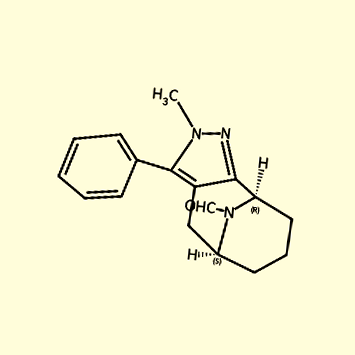 Cn1nc2c(c1-c1ccccc1)C[C@@H]1CCC[C@H]2N1C=O